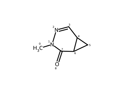 CN1N=CC2CC2C1=O